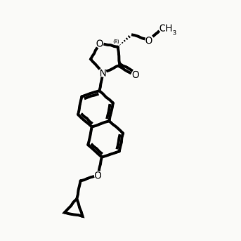 COC[C@H]1OCN(c2ccc3cc(OCC4CC4)ccc3c2)C1=O